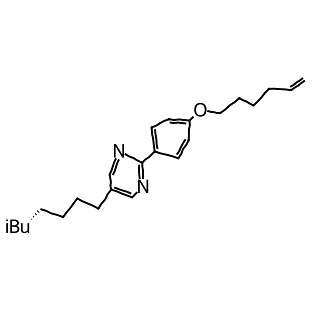 C=CCCCCOc1ccc(-c2ncc(CCCC[C@@H](C)CC)cn2)cc1